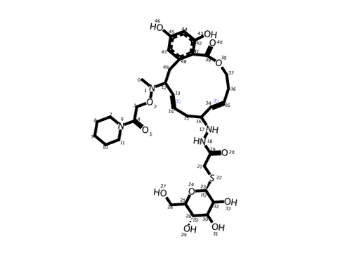 CN(OCC(=O)N1CCCCC1)C1/C=C/CC(NNC(=O)CS[C@@H]2OC(CO)[C@@H](O)C(O)C2O)/C=C/CCOC(=O)c2c(O)cc(O)cc2C1